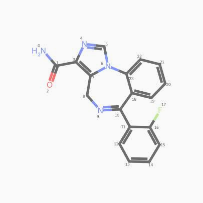 NC(=O)c1ncn2c1CN=C(c1ccccc1F)c1ccccc1-2